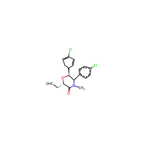 CN1C(=O)[C@H](CC=O)O[C@@H](C2C=CC(Cl)=CC2)C1c1ccc(Cl)cc1